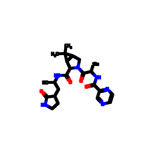 CC(C)(C)C(NC(=O)c1cnccn1)C(=O)N1CC2C(C1C(=O)NC(C#N)CC1CCNC1=O)C2(C)C